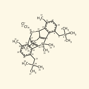 CC1=C2c3c(C[Si](C)(C)C)ccc(C)c3[CH]1[Zr+2][CH]1C(C)=C(c3c(C[Si](C)(C)C)ccc(C)c31)[Si]2(C)C.[Cl-].[Cl-]